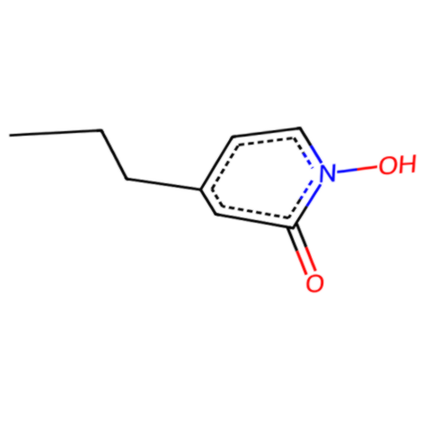 CCCc1ccn(O)c(=O)c1